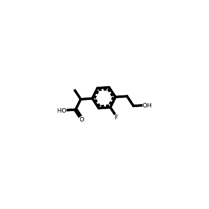 CC(C(=O)O)c1ccc(CCO)c(F)c1